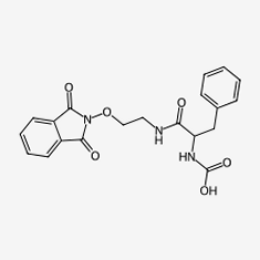 O=C(O)NC(Cc1ccccc1)C(=O)NCCON1C(=O)c2ccccc2C1=O